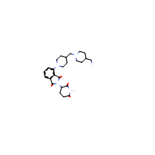 NCC1CCN(CC2CCN(c3cccc4c3C(=O)N(C3CCC(=O)NC3=O)C4=O)CC2)CC1